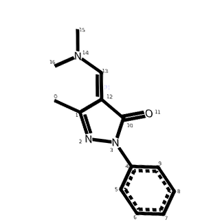 CC1=NN(c2ccccc2)C(=O)/C1=C/N(C)C